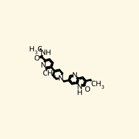 CCc1cc2ncc(CN3CC=C(c4ccc(C(=O)NC)nc4C)CC3)cc2[nH]c1=O